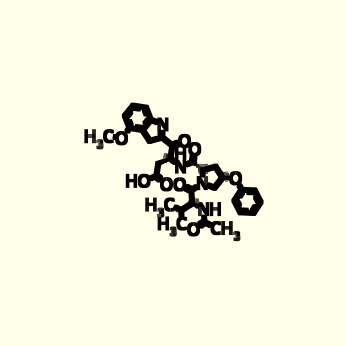 COc1cccc2c1CC(C(=O)[C@H](CC(=O)O)NC(=O)[C@@H]1C[C@@H](Oc3ccccc3)CN1C(=O)[C@@H](NC(C)=O)C(C)C)=N2